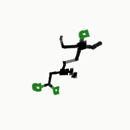 CC[Si](Cl)(CC)CC[SiH2]CC(Cl)Cl